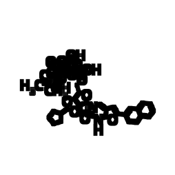 CC(C)(C)P(=O)(O)OP(=O)(O)OP(=O)(O)OP(=O)(O)OC[C@H]1O[C@@H](N2C=C3C=C(c4ccc5ccccc5c4)OC3NC2=O)[C@H]2OC(C3CCCC3)OC12